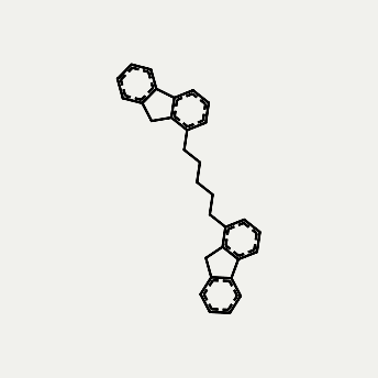 c1ccc2c(c1)Cc1c(CCCCCc3cccc4c3Cc3ccccc3-4)cccc1-2